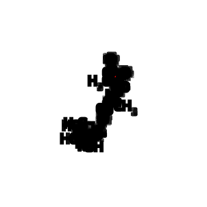 CCc1c2c(nc3ccc(OC(=O)N4CCC(CCn5ccc6cc(-n7c(O)nnc7-c7cc(C(C)C)c(O)cc7O)ccc65)CC4)cc13)-c1cc3c(c(=O)n1C2)COC(=O)C3(CC)OP(=O)(OCc1ccccc1)OCc1ccccc1